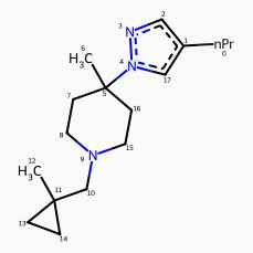 CCCc1cnn(C2(C)CCN(CC3(C)CC3)CC2)c1